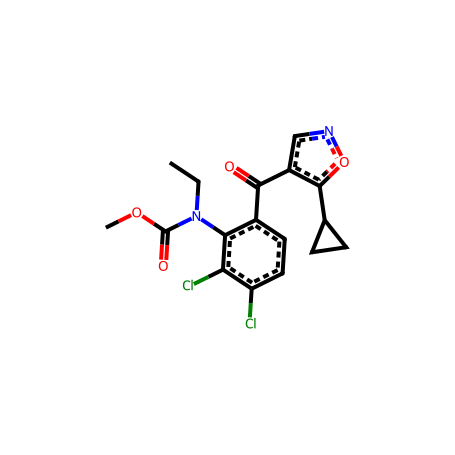 CCN(C(=O)OC)c1c(C(=O)c2cnoc2C2CC2)ccc(Cl)c1Cl